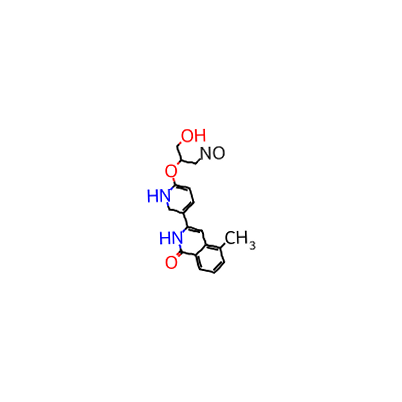 Cc1cccc2c(=O)[nH]c(C3=CC=C(OC(CO)CN=O)NC3)cc12